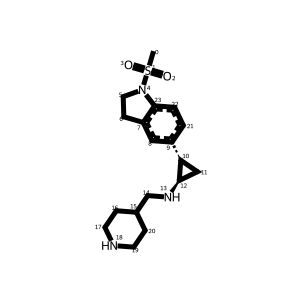 CS(=O)(=O)N1CCc2cc([C@@H]3C[C@H]3NCC3CCNCC3)ccc21